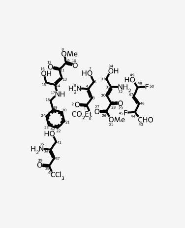 CCOC(=O)C(=O)C=C(N)CO.COC(=O)C(=O)C=C(CO)NCc1ccccc1.COC(=O)C(=O)C=C(N)CO.NC(=CC(=O)C(Cl)(Cl)Cl)CO.O=CC(F)C=CC(O)F